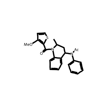 COc1ccsc1C(=O)N1c2ccccc2C(N(C(C)=O)c2ccccc2)CC1C